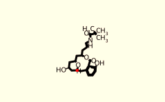 CC(C)(C)C(=O)N/C=C/CC1CC2C[C@H](O)C[C@H](Cc3cccc(O)c3C(=O)O1)O2